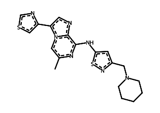 Cc1cn2c(-c3cscn3)cnc2c(Nc2cc(CN3CCCCC3)ns2)n1